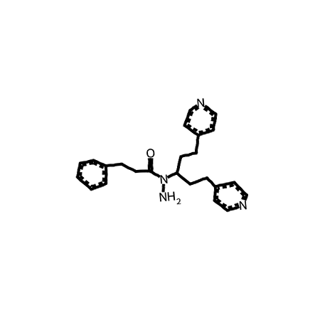 NN(C(=O)CCc1ccccc1)C(CCc1ccncc1)CCc1ccncc1